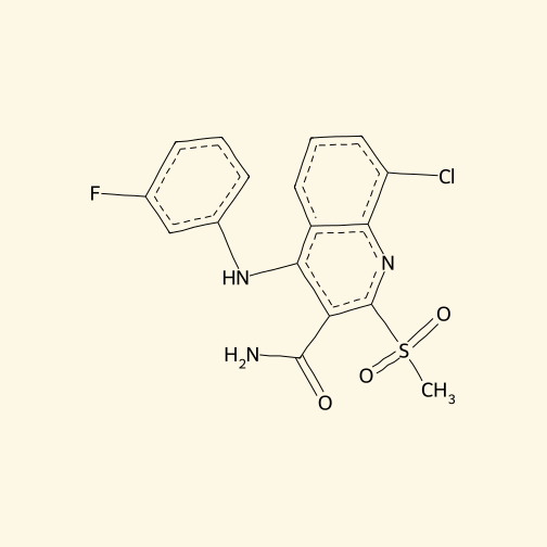 CS(=O)(=O)c1nc2c(Cl)cccc2c(Nc2cccc(F)c2)c1C(N)=O